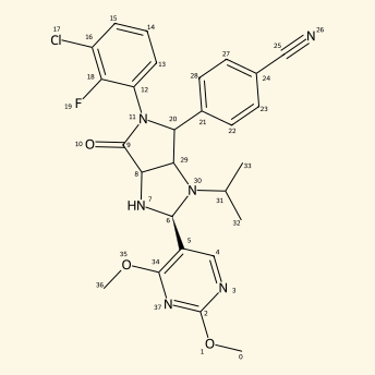 COc1ncc([C@H]2NC3C(=O)N(c4cccc(Cl)c4F)C(c4ccc(C#N)cc4)C3N2C(C)C)c(OC)n1